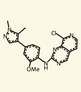 COc1cc(-c2cnn(C)c2C)ccc1Nc1ncc2ccnc(Cl)c2n1